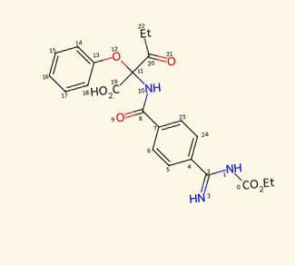 CCOC(=O)NC(=N)c1ccc(C(=O)NC(Oc2ccccc2)(C(=O)O)C(=O)CC)cc1